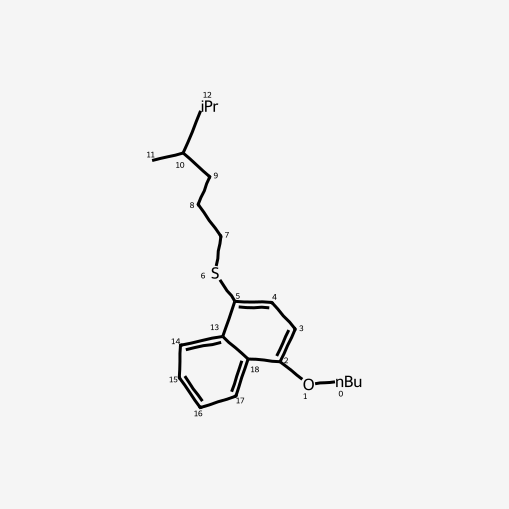 CCCCOc1ccc(SCCCC(C)C(C)C)c2ccccc12